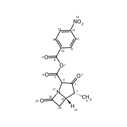 C[C@H]1C(=O)C(C(=O)OC(=O)c2ccc([N+](=O)[O-])cc2)N2C(=O)C[C@@H]12